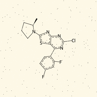 C[C@@H]1CCCN1c1nc2nc(Cl)nc(-c3ccc(F)cc3F)c2s1